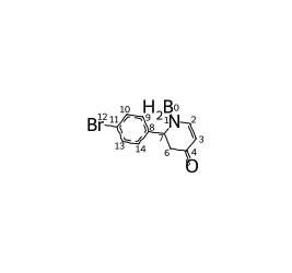 BN1C=CC(=O)CC1c1ccc(Br)cc1